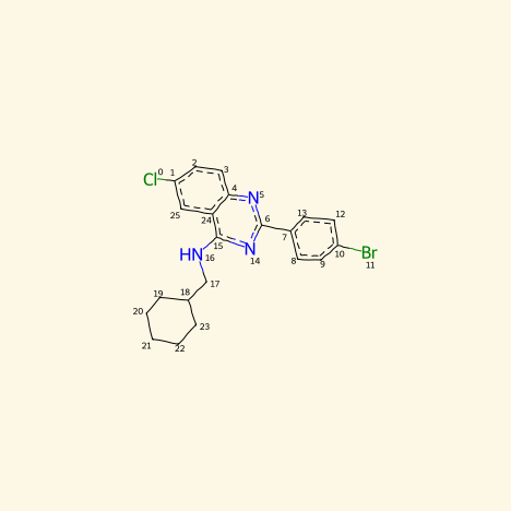 Clc1ccc2nc(-c3ccc(Br)cc3)nc(NCC3CCCCC3)c2c1